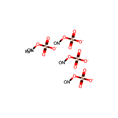 O=NOS(=O)(=O)[O-].O=NOS(=O)(=O)[O-].O=NOS(=O)(=O)[O-].O=NOS(=O)(=O)[O-].[Ru+4]